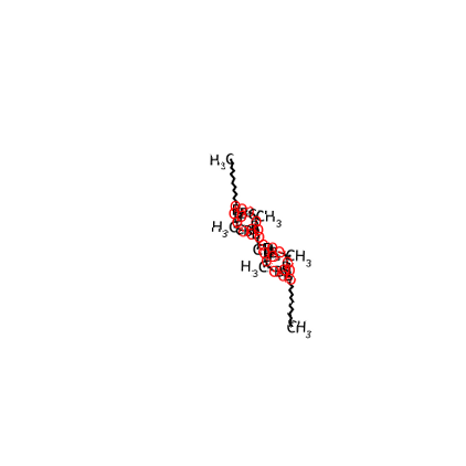 CCCCCCCCCCCCOB1OB2OCC(C)OB3OB(OCC(C)OB(O1)O2)OB(OCC(C)OB1OB2OCC(C)OB4OB(OCCCCCCCCCCCC)OB(OCC(C)OB(O2)O1)O4)O3